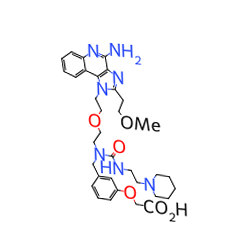 COCCc1nc2c(N)nc3ccccc3c2n1CCOCCN(Cc1cccc(OCC(=O)O)c1)C(=O)NCCN1CCCCC1